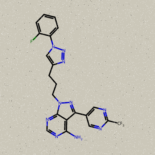 Nc1ncnc2c1c(-c1cnc(C(F)(F)F)nc1)nn2CCCc1cn(-c2ccccc2F)nn1